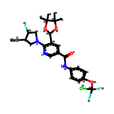 COC1CN(c2ncc(C(=O)Nc3ccc(OC(F)(F)Cl)cc3)cc2B2OC(C)(C)C(C)(C)O2)CC1F